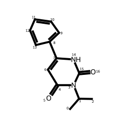 CC(C)n1c(=O)cc(-c2ccccc2)[nH]c1=O